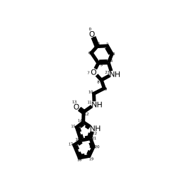 O=C1C=CC2=C(C1)OC(CCNC(=O)c1cc3ccccc3[nH]1)N2